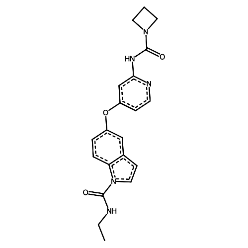 CCNC(=O)n1ccc2cc(Oc3ccnc(NC(=O)N4CCC4)c3)ccc21